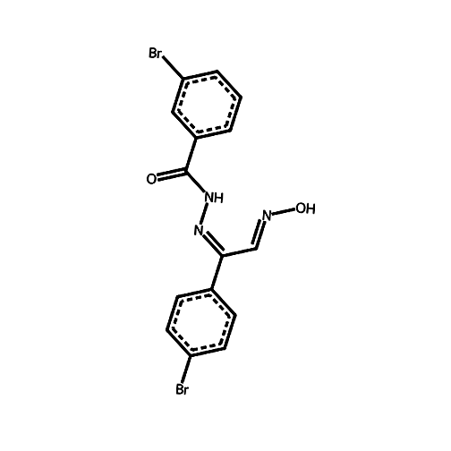 O=C(NN=C(C=NO)c1ccc(Br)cc1)c1cccc(Br)c1